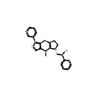 C[C@@H]1C2=C(CC[C@@H]2CC(O)c2ccccn2)Cc2c1cnn2-c1cccnc1